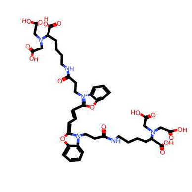 O=C(O)CN(CC(=O)O)C(CCCCNC(=O)CCN1/C(=C\C=C\c2oc3ccccc3[n+]2CCC(=O)NCCCCC(C(=O)O)N(CC(=O)O)CC(=O)O)Oc2ccccc21)C(=O)O